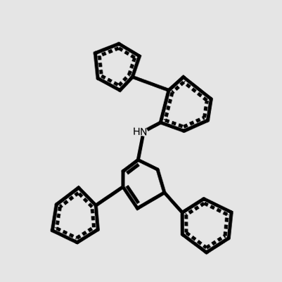 C1=C(Nc2ccccc2-c2ccccc2)CC(c2ccccc2)C=C1c1ccccc1